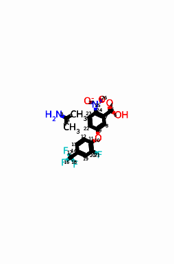 CC(C)N.O=C(O)c1cc(Oc2ccc(C(F)(F)F)cc2F)ccc1[N+](=O)[O-]